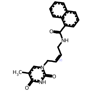 Cc1cn(C/C=C\CNC(=O)c2cccc3ccccc23)c(=O)[nH]c1=O